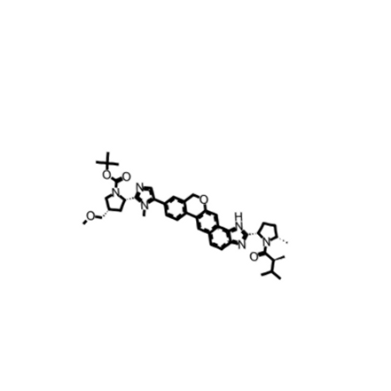 COC[C@H]1C[C@@H](c2ncc(-c3ccc4c(c3)COc3cc5c(ccc6nc([C@@H]7CC[C@H](C)N7C(=O)[C@@H](C)C(C)C)[nH]c65)cc3-4)n2C)N(C(=O)OC(C)(C)C)C1